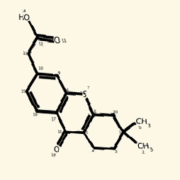 CC1(C)CCc2c(sc3cc(CC(=O)O)ccc3c2=O)C1